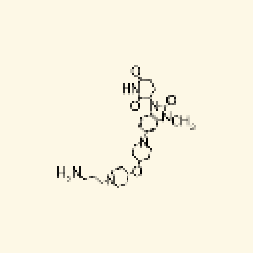 Cn1c(=O)n(C2CCC(=O)NC2=O)c2ccc(N3CCC(OC4CCN(CCCN)CC4)CC3)cc21